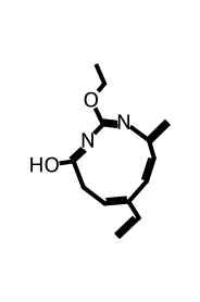 C=CC1=C/C/C(O)=N\C(OCC)=N/C(=C)/C=C\1